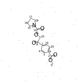 COC(=O)c1ccc(C(=O)COC(=O)N2CCCC2)cc1